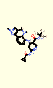 [2H]C([2H])([2H])NC(=O)c1cnc(NC(=O)C2CC2)cc1Nc1cccc2c1N(C)[C@H](C)c1cn(C)nc1-2